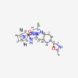 Cc1ncc(-c2ccc3nnc(NC(=O)N4[C@@H]5CC[C@H]4C[C@@H](NCCF)C5)cc3c2)o1